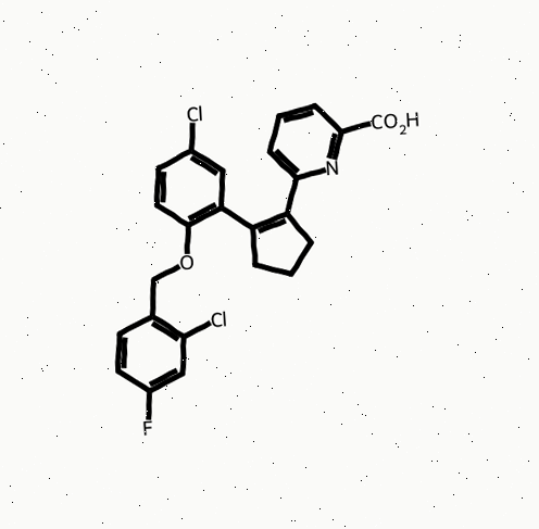 O=C(O)c1cccc(C2=C(c3cc(Cl)ccc3OCc3ccc(F)cc3Cl)CCC2)n1